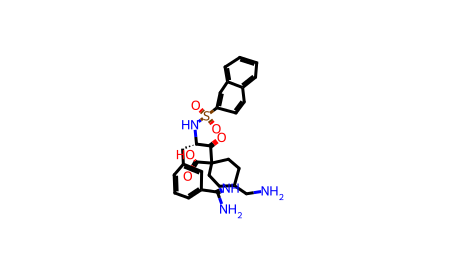 N=C(N)c1cccc(C[C@H](NS(=O)(=O)c2ccc3ccccc3c2)C(=O)C2(C(=O)O)CCC(CN)CC2)c1